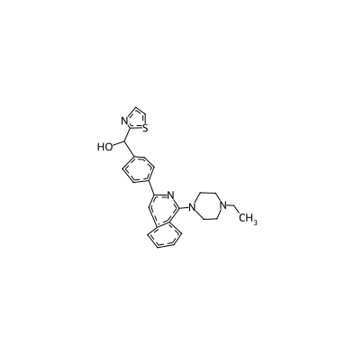 CCN1CCN(c2nc(-c3ccc(C(O)c4nccs4)cc3)cc3ccccc23)CC1